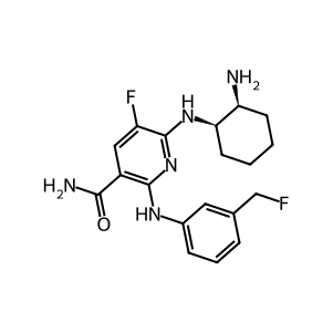 NC(=O)c1cc(F)c(N[C@@H]2CCCC[C@@H]2N)nc1Nc1cccc(CF)c1